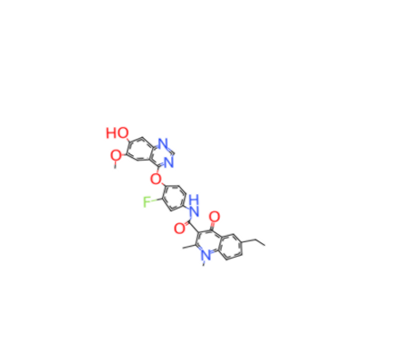 CCc1ccc2c(c1)c(=O)c(C(=O)Nc1ccc(Oc3ncnc4cc(O)c(OC)cc34)c(F)c1)c(C)n2C